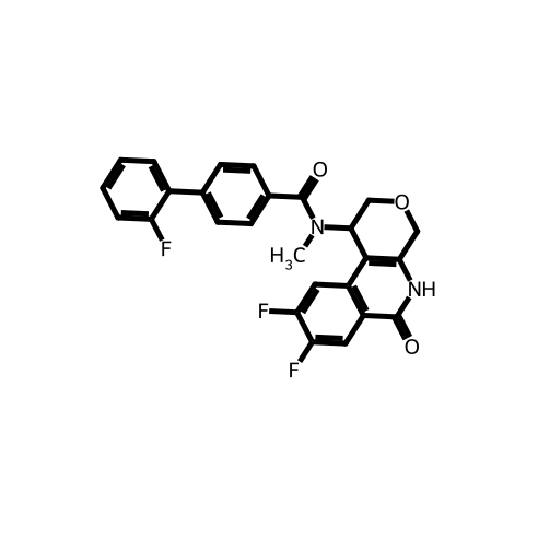 CN(C(=O)c1ccc(-c2ccccc2F)cc1)C1COCc2[nH]c(=O)c3cc(F)c(F)cc3c21